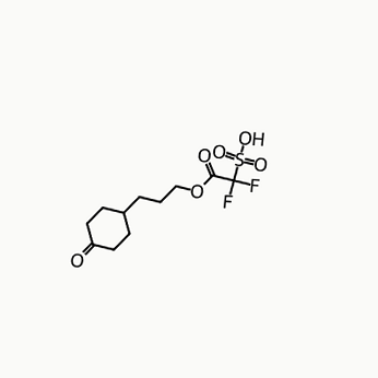 O=C1CCC(CCCOC(=O)C(F)(F)S(=O)(=O)O)CC1